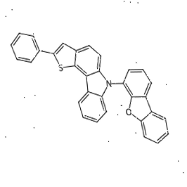 c1ccc(-c2cc3ccc4c(c5ccccc5n4-c4cccc5c4oc4ccccc45)c3s2)cc1